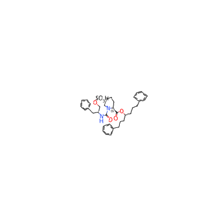 O=C(OC(CCCc1ccccc1)CCCc1ccccc1)[C@@H]1CCCCN1C(=O)NC(COS(=O)(=O)O)Cc1ccccc1